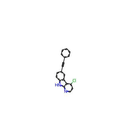 Clc1ccnc2[nH]c3ccc(C#Cc4ccccc4)cc3c12